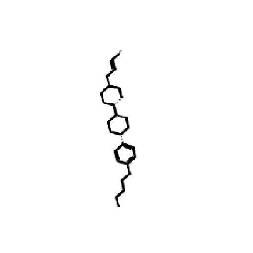 CCCCCc1ccc([C@H]2CC[C@H]([C@H]3CC[C@H](C/C=C/F)CC3)CC2)cc1